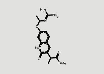 COC(=O)C(C)c1cc2ccc(OC(C)N=C(N)N)cc2[nH]c1=O